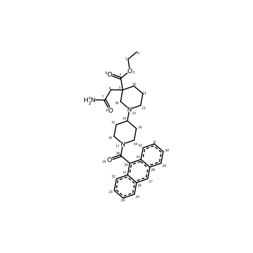 CCOC(=O)C1(CC(N)=O)CCCN(C2CCN(C(=O)c3c4ccccc4cc4ccccc34)CC2)C1